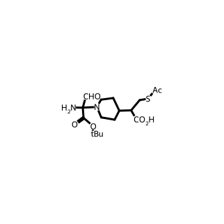 CC(=O)SCC(C(=O)O)C1CCN(C(N)(C=O)C(=O)OC(C)(C)C)CC1